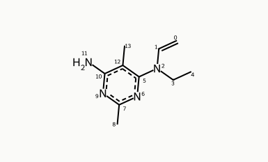 C=CN(CC)c1nc(C)nc(N)c1C